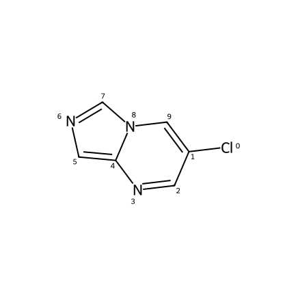 Clc1cnc2cncn2c1